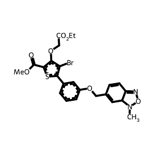 CCOC(=O)COc1c(C(=O)OC)sc(-c2cccc(OCC3=CC4C(=NON4C)C=C3)c2)c1Br